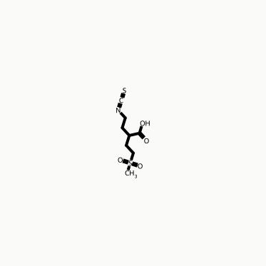 CS(=O)(=O)CCC(CCN=C=S)C(=O)O